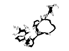 COC(=O)N[C@H]1CCCCOCc2[nH]c(nc2Cc2c[nH]c([C@@H]3CCCN3C(=O)[C@@H](C)C(C)C)n2)[C@@H]2CCCN2C1=O